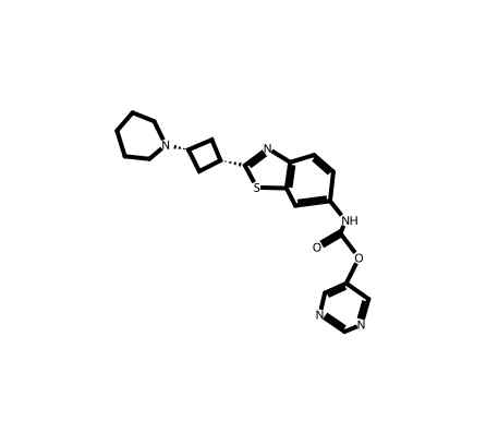 O=C(Nc1ccc2nc([C@H]3C[C@@H](N4CCCCC4)C3)sc2c1)Oc1cncnc1